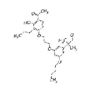 CCCCOc1cc(OCCCOc2ccc(C(C)=O)c(O)c2CCC)cc(C(C)(C)C=O)c1